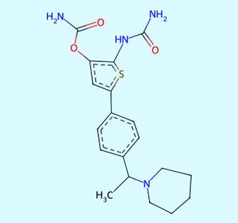 CC(c1ccc(-c2cc(OC(N)=O)c(NC(N)=O)s2)cc1)N1CCCCC1